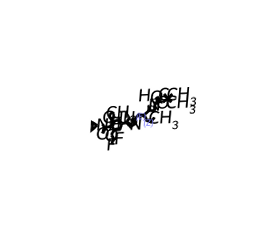 C/C=C\C(=C/c1ncc(-c2cc(OC)c(C(=O)NC3CC3)c(OC(F)F)c2)[nH]1)C1CN(C(=O)OC(C)(C)C)C1